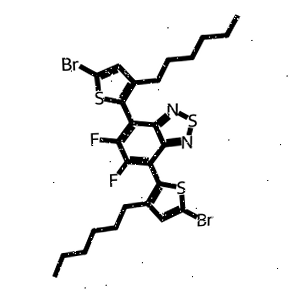 CCCCCCc1cc(Br)sc1-c1c(F)c(F)c(-c2sc(Br)cc2CCCCCC)c2nsnc12